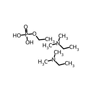 CCN(C)C.CCN(C)C.CCOP(=O)(O)O